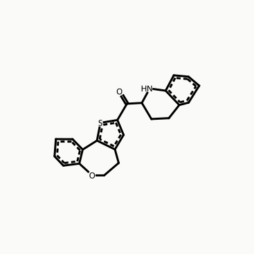 O=C(c1cc2c(s1)-c1ccccc1OCC2)C1CCc2ccccc2N1